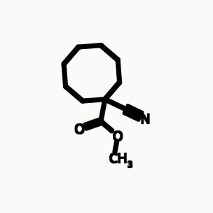 COC(=O)C1(C#N)CCCCCCC1